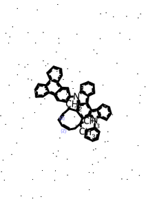 C=C1/C=C\C=C/CC(C)(C)c2c1c1c(c3ccccc3n1-c1ccc3c4ccccc4c4ccccc4c3c1)c1c3ccccc3n(-c3ccccc3)c21